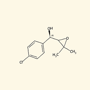 CC1(C)OC1[C@H](O)c1ccc(Cl)cc1